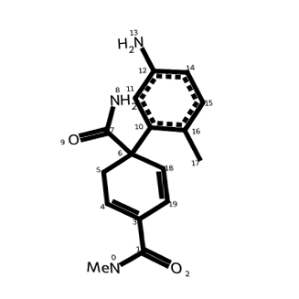 CNC(=O)C1=CCC(C(N)=O)(c2cc(N)ccc2C)C=C1